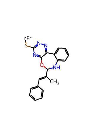 CCCSc1nnc2c(n1)OC(/C(C)=C/c1ccccc1)Nc1ccccc1-2